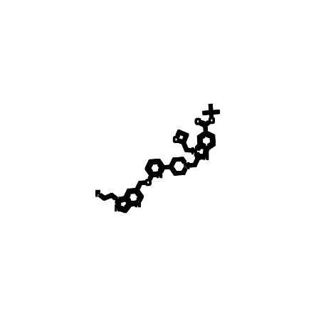 CC(C)(C)OC(=O)c1ccc2nc(CN3CCC(c4cccc(OCc5cnc6cnn(CCF)c6c5)n4)CC3)n(CC3CCO3)c2c1